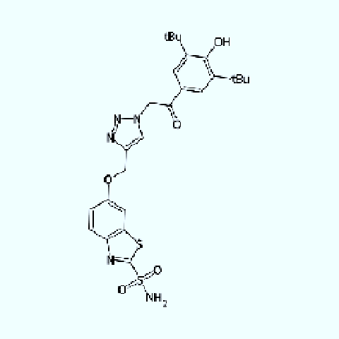 CC(C)(C)c1cc(C(=O)Cn2cc(COc3ccc4nc(S(N)(=O)=O)sc4c3)nn2)cc(C(C)(C)C)c1O